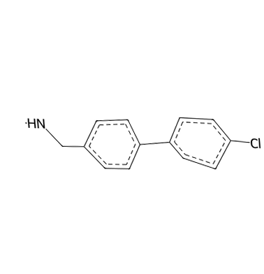 [NH]Cc1ccc(-c2ccc(Cl)cc2)cc1